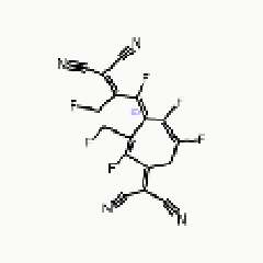 N#CC(C#N)=C1CC(F)=C(F)/C(=C(\F)C(CF)=C(C#N)C#N)C(CF)=C1F